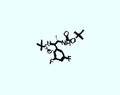 C[C@H](NC(=O)OC(C)(C)C)/C(=N/[S+]([O-])C(C)(C)C)c1cc(F)cc(F)c1